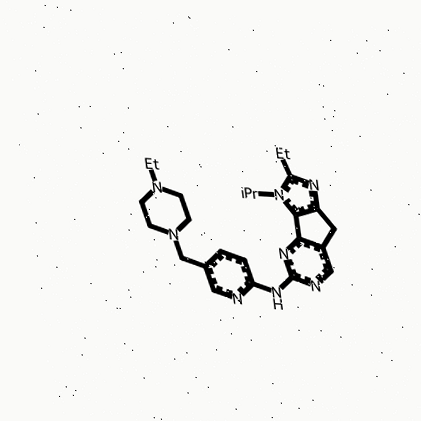 CCc1nc2c(n1C(C)C)-c1nc(Nc3ccc(CN4CCN(CC)CC4)cn3)ncc1C2